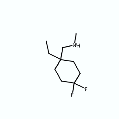 CCC1(CNC)CCC(F)(F)CC1